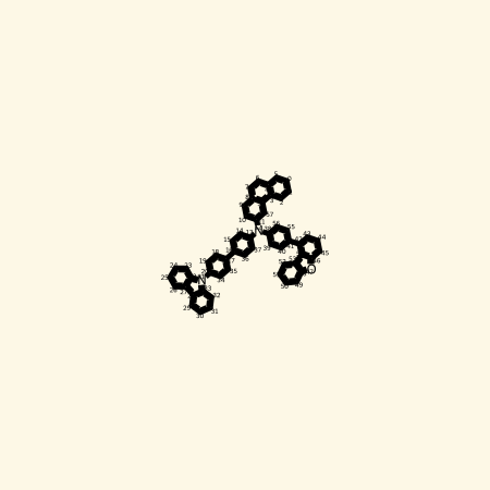 c1ccc2c(c1)ccc1ccc(N(c3ccc(-c4ccc(-n5c6ccccc6c6ccccc65)cc4)cc3)c3ccc(-c4cccc5oc6ccccc6c45)cc3)cc12